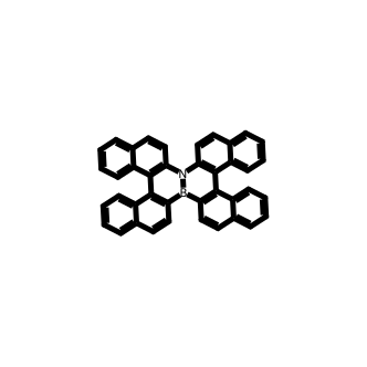 c1ccc2c3c(ccc2c1)B1c2ccc4ccccc4c2-c2c(ccc4ccccc24)N1c1ccc2ccccc2c1-3